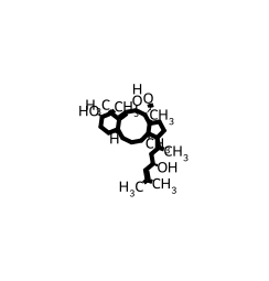 CC(C)=C[C@H](O)CC(C)C1CC[C@@]2(C)[C@@H](C=O)[C@@H](O)/C=C3\[C@H](CCC[C@]12C)CC[C@H](O)C3(C)C